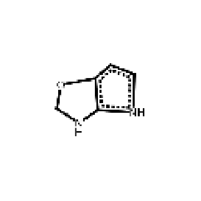 c1cc2c([nH]1)NCO2